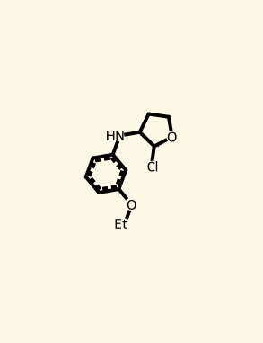 CCOc1cccc(NC2CCO[C]2Cl)c1